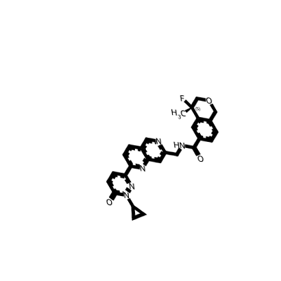 C[C@@]1(F)COCc2ccc(C(=O)NCc3cc4nc(-c5ccc(=O)n(C6CC6)n5)ccc4cn3)cc21